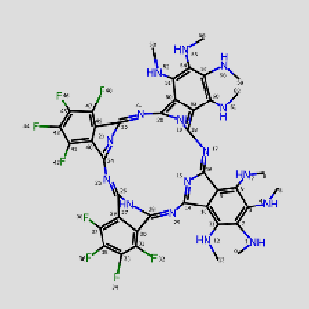 CNc1c(NC)c(NC)c2c(c1NC)-c1nc-2nc2[nH]c(nc3nc(nc4[nH]c(n1)c1c(F)c(F)c(F)c(F)c41)-c1c(F)c(F)c(F)c(F)c1-3)c1c(NC)c(NC)c(NC)c(NC)c21